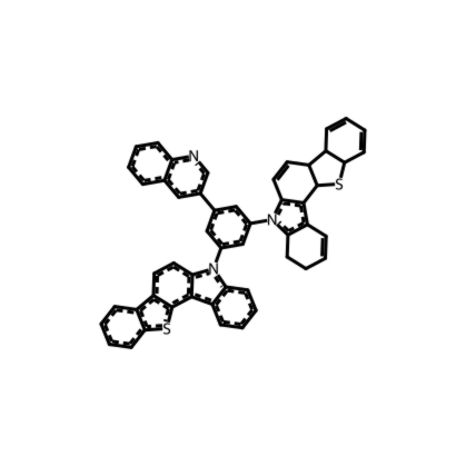 C1=CC2SC3c4c5c(n(-c6cc(-c7cnc8ccccc8c7)cc(-n7c8ccccc8c8c9sc%10ccccc%10c9ccc87)c6)c4C=CC3C2C=C1)CCC=C5